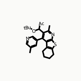 CC(=O)C(OC(C)(C)C)c1c(C)nc2sc3c(c2c1-c1cncc(C)c1)CCCC3